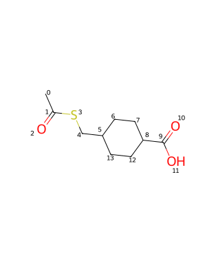 CC(=O)SCC1CCC(C(=O)O)CC1